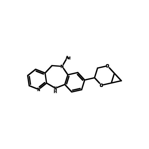 CC(=O)N1Cc2cccnc2Nc2ccc(C3COC4CC4O3)cc21